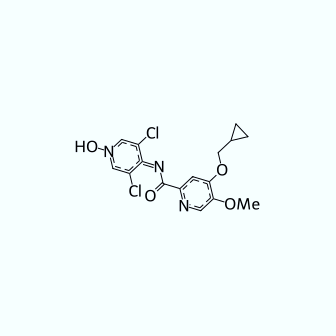 COc1cnc(C(=O)N=c2c(Cl)cn(O)cc2Cl)cc1OCC1CC1